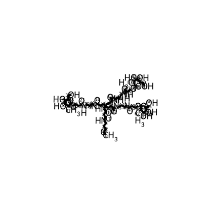 COCCCNC(=O)CC(=O)NC(CCC(=O)NCCCNC(=O)CCO[C@@H]1OC(CO)[C@H](O)[C@H](O)C1C)(CCC(=O)NCCCNC(=O)CCO[C@@H]1OC(CO)[C@H](O)[C@H](O)C1C)CCC(=O)NCCCNC(=O)CCO[C@@H]1OC(CO)[C@H](O)[C@H](O)C1C